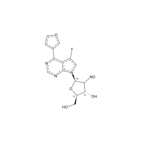 O=NC1[C@H](n2cc(F)c3c(-c4ccoc4)ncnc32)O[C@H](CO)[C@H]1O